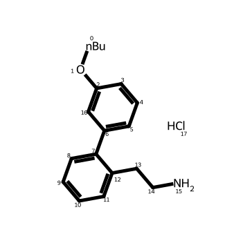 CCCCOc1cccc(-c2ccccc2CCN)c1.Cl